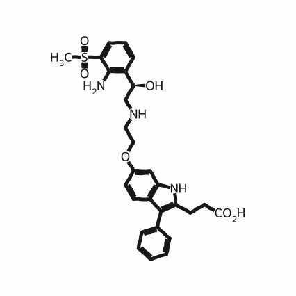 CS(=O)(=O)c1cccc([C@@H](O)CNCCOc2ccc3c(-c4ccccc4)c(CCC(=O)O)[nH]c3c2)c1N